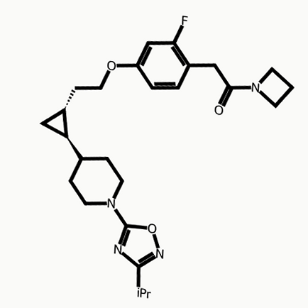 CC(C)c1noc(N2CCC([C@H]3C[C@@H]3CCOc3ccc(CC(=O)N4CCC4)c(F)c3)CC2)n1